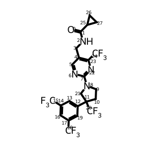 O=C(NCc1cnc(N2CCC(c3cc(C(F)(F)F)cc(C(F)(F)F)c3)(C(F)(F)F)C2)nc1C(F)(F)F)C1CC1